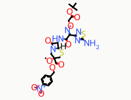 COC1(C(=O)OCc2ccc([N+](=O)[O-])cc2)CS[C@@H]2C(NC(=O)C(=NOCC(=O)OC(C)(C)C)c3nsc(N)n3)C(=O)N2C1